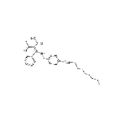 CCCCCCCCC#Cc1ccc(CN/C(=C(/C(C)=O)C(=O)O)c2ccccc2)cc1